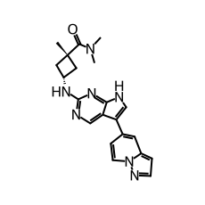 CN(C)C(=O)[C@]1(C)C[C@H](Nc2ncc3c(-c4ccn5nccc5c4)c[nH]c3n2)C1